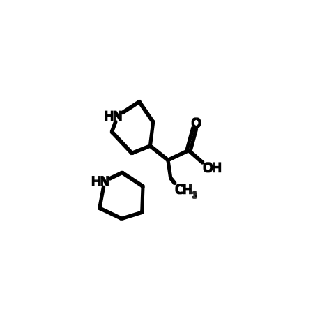 C1CCNCC1.CCC(C(=O)O)C1CCNCC1